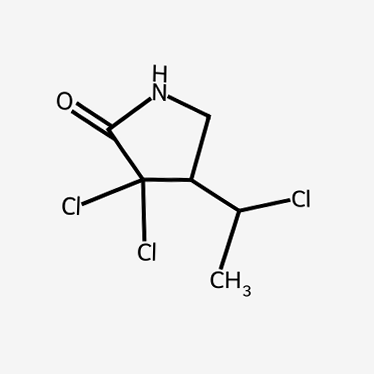 CC(Cl)C1CNC(=O)C1(Cl)Cl